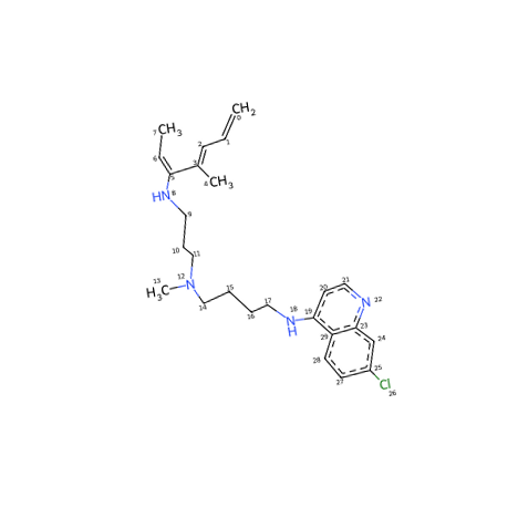 C=C/C=C(C)/C(=C\C)NCCCN(C)CCCCNc1ccnc2cc(Cl)ccc12